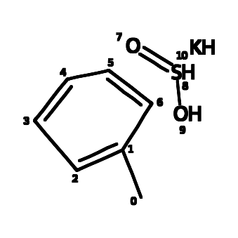 Cc1ccccc1.O=[SH]O.[KH]